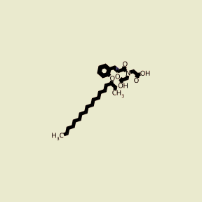 CCCCCCCCCCCCCCCC(CC)Oc1ccccc1/C=C/C(=O)N(CC(=O)O)CC(=O)O